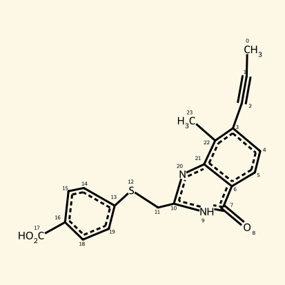 CC#Cc1ccc2c(=O)[nH]c(CSc3ccc(C(=O)O)cc3)nc2c1C